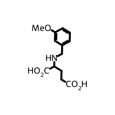 COc1cccc(CNC(CCC(=O)O)C(=O)O)c1